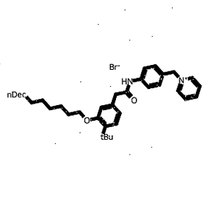 CCCCCCCCCCCCCCCCOc1cc(CC(=O)Nc2ccc(C[n+]3ccccc3)cc2)ccc1C(C)(C)C.[Br-]